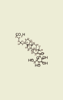 CC(C)(CCCC(=O)O)CC1CCC[C@]2(C)C1=CCC1[C@@]3(C)CC[C@H](C(=O)[C@H]4OC(CO)[C@@H](O)C(O)C4O)C(C)(C)C3CC[C@]12C